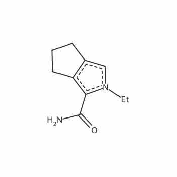 CCn1cc2c(c1C(N)=O)CCC2